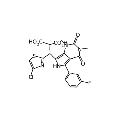 Cn1c(=O)c2c(-c3cccc(F)c3)[nH]c(C(c3nc(Cl)cs3)C(C(=O)O)C(=O)O)c2n(C)c1=O